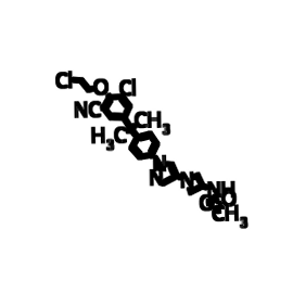 CC(C)(c1ccc(-n2cc(N3CC(NS(C)(=O)=O)C3)cn2)cc1)c1cc(Cl)c(OCCCl)c(C#N)c1